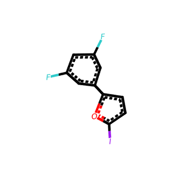 Fc1cc(F)cc(-c2ccc(I)o2)c1